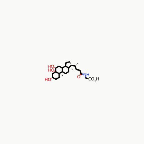 C[C@H](CCC(=O)NCC(=O)O)[C@H]1CCC2C3C[C@@H](O)[C@@]4(O)C[C@@H](O)CC[C@]4(C)C3CC[C@@]21C